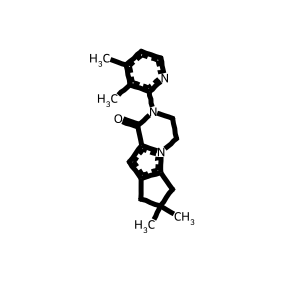 Cc1ccnc(N2CCn3c(cc4c3CC(C)(C)C4)C2=O)c1C